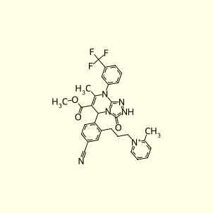 COC(=O)C1=C(C)N(c2cccc(C(F)(F)F)c2)c2n[nH]c(=O)n2C1c1ccc(C#N)cc1CCC[n+]1ccccc1C